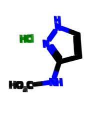 Cl.O=C(O)Nc1cc[nH]n1